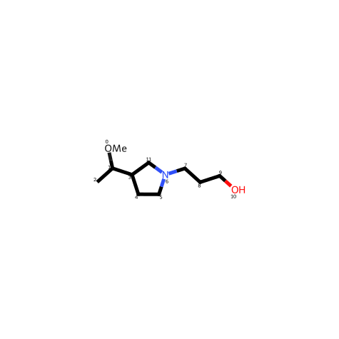 COC(C)C1CCN(CCCO)C1